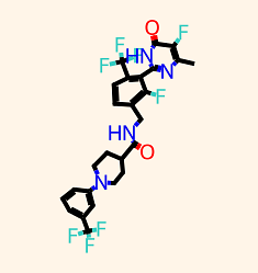 Cc1nc(-c2c(C(F)(F)F)ccc(CNC(=O)C3CCN(c4cccc(C(F)(F)F)c4)CC3)c2F)[nH]c(=O)c1F